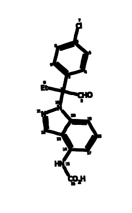 CCC(C=O)(c1ccc(Cl)cc1)n1ncc2c(NC(=O)O)cccc21